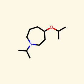 CC(C)OC1CCCN(C(C)C)CC1